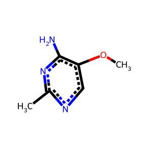 COc1cnc(C)nc1N